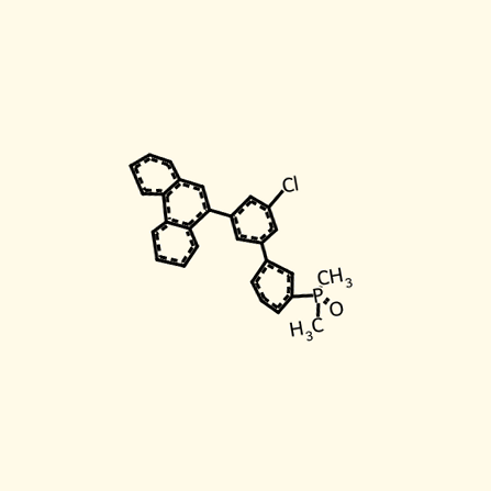 CP(C)(=O)c1cccc(-c2cc(Cl)cc(-c3cc4ccccc4c4ccccc34)c2)c1